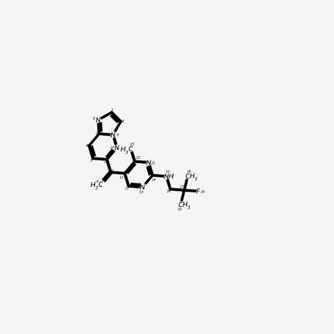 C=C(c1ccc2nccn2n1)c1cnc(NCC(C)(C)F)nc1C